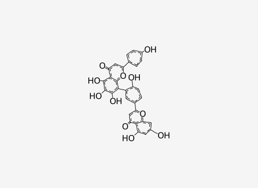 O=c1cc(-c2ccc(O)c(-c3c(O)c(O)c(O)c4c(=O)cc(-c5ccc(O)cc5)oc34)c2)oc2cc(O)cc(O)c12